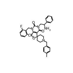 Cc1ccc(CN2CCC3(CC2)OCc2c3c(=O)n(CC(N)c3ccccc3)c(=O)n2Cc2c(F)cccc2C(F)(F)F)cc1